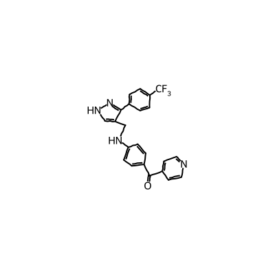 O=C(c1ccncc1)c1ccc(NCc2c[nH]nc2-c2ccc(C(F)(F)F)cc2)cc1